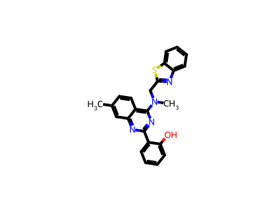 Cc1ccc2c(N(C)Cc3nc4ccccc4s3)nc(-c3ccccc3O)nc2c1